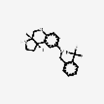 C[C@@]12COc3ccc(OCc4ccccc4C(F)(F)F)cc3[C@@H]1CCN2